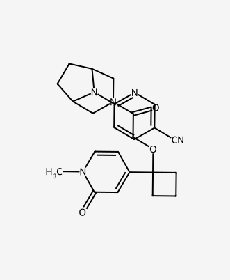 Cn1ccc(C2(OCC(=O)N3CC4CCC(C3)N4c3ccc(C#N)cn3)CCC2)cc1=O